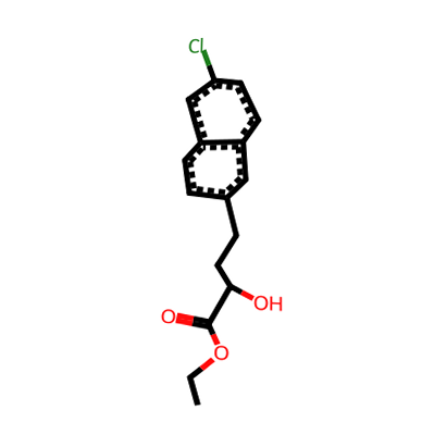 CCOC(=O)C(O)CCc1ccc2cc(Cl)ccc2c1